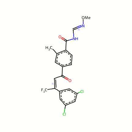 CO/N=C/NC(=O)c1ccc(C(=O)/C=C(\c2cc(Cl)cc(Cl)c2)C(F)(F)F)cc1C